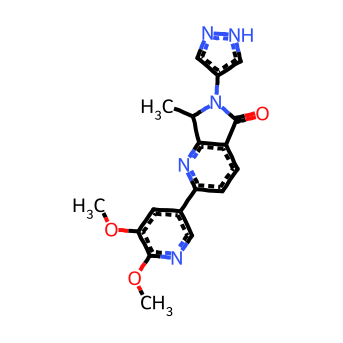 COc1cc(-c2ccc3c(n2)C(C)N(c2cn[nH]c2)C3=O)cnc1OC